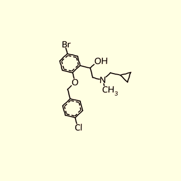 CN(CC1CC1)CC(O)c1cc(Br)ccc1OCc1ccc(Cl)cc1